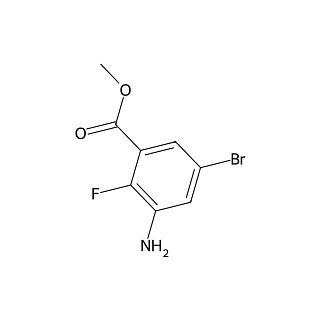 COC(=O)c1cc(Br)cc(N)c1F